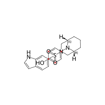 O=S(=O)(c1ccc2cc[nH]c2c1)N1C[C@H]2CCC[C@@H](C1)N2c1ccc(O)cc1